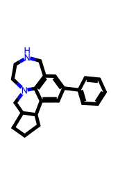 c1ccc(-c2cc3c4c(c2)C2CCCC2CN4CCNC3)cc1